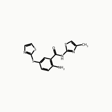 Cc1csc(NC(=O)c2cc(Sc3nccs3)ccc2N)n1